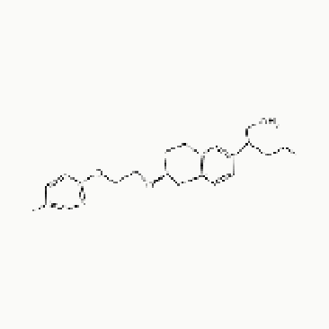 CCCC(CN)c1ccc2c(c1)CC[C@H](OCCOc1ccc(C)cc1)C2